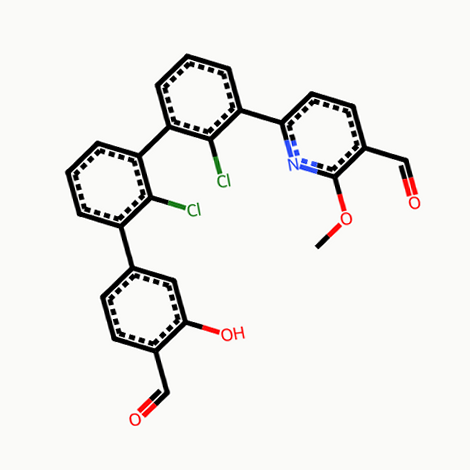 COc1nc(-c2cccc(-c3cccc(-c4ccc(C=O)c(O)c4)c3Cl)c2Cl)ccc1C=O